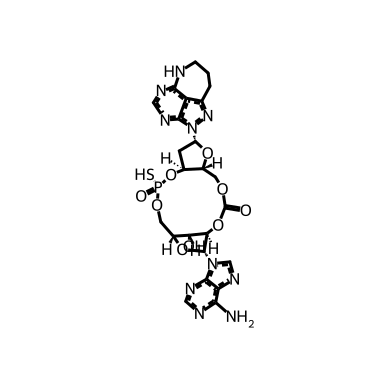 Nc1ncnc2c1ncn2[C@@H]1O[C@@H]2COP(=O)(S)O[C@H]3C[C@H](n4nc5c6c(ncnc64)NCCC5)O[C@@H]3COC(=O)O[C@@H]1[C@@H]2O